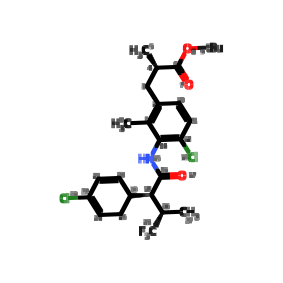 Cc1c(C[C@@H](C)C(=O)OC(C)(C)C)ccc(Cl)c1NC(=O)[C@H](C1C=CC(Cl)=CC1)[C@@H](C)C(F)(F)F